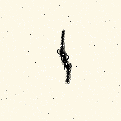 CCCCCCCCCCCCCCCC(=O)N1CCC(C(=O)Oc2ccc(-c3cnc(CCCCCCCCCCC)nc3)cc2)CC1